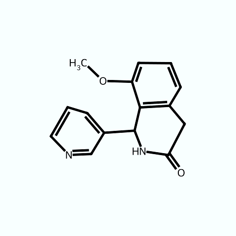 COc1cccc2c1C(c1cccnc1)NC(=O)C2